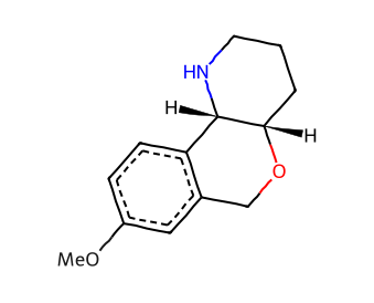 COc1ccc2c(c1)CO[C@H]1CCCN[C@@H]21